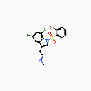 CN(C)CCc1cn(S(=O)(=O)c2ccccc2Br)c2c(Cl)cc(Cl)cc12